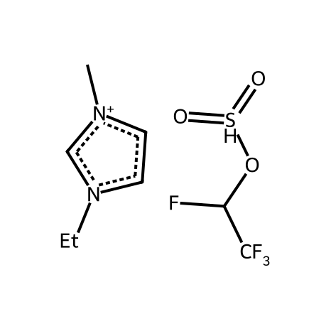 CCn1cc[n+](C)c1.O=[SH](=O)OC(F)C(F)(F)F